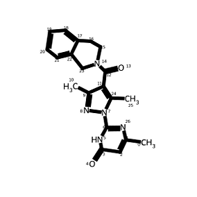 Cc1cc(=O)[nH]c(-n2nc(C)c(C(=O)N3CCc4ccccc4C3)c2C)n1